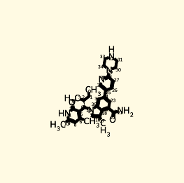 CCC(C)[C@@H](c1c(C)cc(C)[nH]c1=O)n1cc(C)c2c(C(N)=O)cc(-c3ccc(N4CCNCC4)nc3)cc21